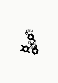 CCCCOc1ccc(CN(Cc2ccccc2)C(=O)Nc2cc(C)c(C)cc2C)cc1